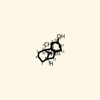 C[C@H]1[C@@H]2CCC[C@@]1(C)c1cc(O)ccc1C2